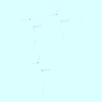 C=C(C)C(=O)OCO.C=C(C)C(=O)OCO.C=C(C)C(=O)OCO.CCC